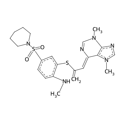 C=C(/C=C1\N=CN(C)c2ncn(C)c21)Sc1cc(S(=O)(=O)N2CCCCC2)ccc1NC